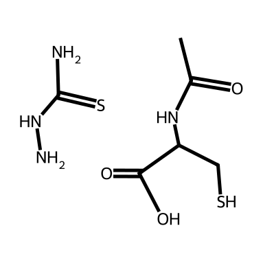 CC(=O)NC(CS)C(=O)O.NNC(N)=S